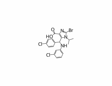 CC(C)n1c(Br)nc(C(=O)O)c1C(Nc1cccc(Cl)c1)c1ccc(Cl)cc1